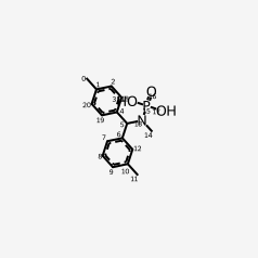 Cc1ccc(C(c2cccc(C)c2)N(C)P(=O)(O)O)cc1